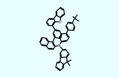 CC(C)(C)c1ccc(-c2ccc(N(c3ccc4c(c3)-c3ccccc3C4(C)C)c3ccc4ccccc4c3-c3cccc(-c4cccc5c4oc4ccccc45)c3)cc2)cc1